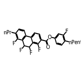 CCCCCc1ccc(OC(=O)c2ccc3c(c2F)C(F)C(F)c2c-3ccc(CCC)c2F)cc1F